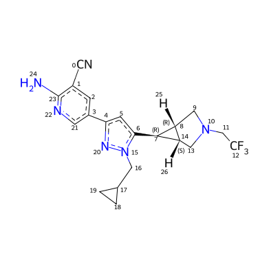 N#Cc1cc(-c2cc([C@H]3[C@@H]4CN(CC(F)(F)F)C[C@@H]43)n(CC3CC3)n2)cnc1N